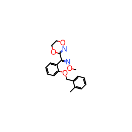 CON=C(C1=NOCCO1)c1ccccc1OCc1ccccc1C